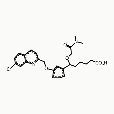 CN(C)C(=O)COC(CCCCC(=O)O)c1cccc(OCc2ccc3ccc(Cl)cc3n2)c1